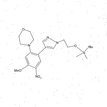 COc1cc(N2CCOCC2)c(-c2cnn(CCO[Si](C)(C)C(C)(C)C)c2)cc1[N+](=O)[O-]